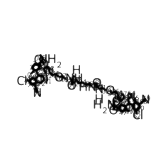 Cc1ccc(S(N)(=O)=O)c([C@H]2CCN(CCOCCNC(=O)NCCCCNC(=O)NCCOCCN3CC[C@H](c4c(S(N)(=O)=O)ccc(C)c4C4CN(C)Cc5c(C#N)cc(Cl)cc54)C3)C2)c1C1CN(C)Cc2c(C#N)cc(Cl)cc21